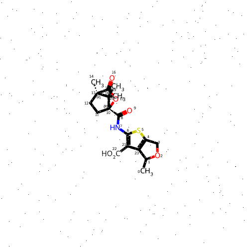 CC1OCc2sc(NC(=O)[C@]34CC[C@@](C)(C(=O)O3)C4(C)C)c(C(=O)O)c21